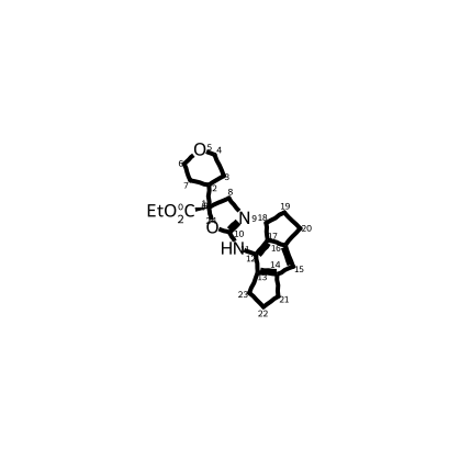 CCOC(=O)[C@@]1(C2CCOCC2)CN=C(Nc2c3c(cc4c2CCC4)CCC3)O1